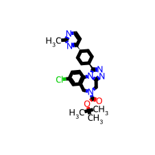 Cc1nccc([C@H]2CC[C@H](c3nnc4n3-c3ccc(Cl)cc3CN(C(=O)OC(C)(C)C)C4)CC2)n1